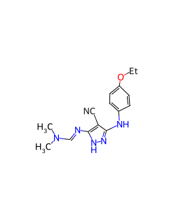 CCOc1ccc(Nc2n[nH]c(/N=C/N(C)C)c2C#N)cc1